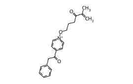 C=C(C)C(=O)CCCO[n+]1ccc(C(=O)Cc2ccccc2)cc1